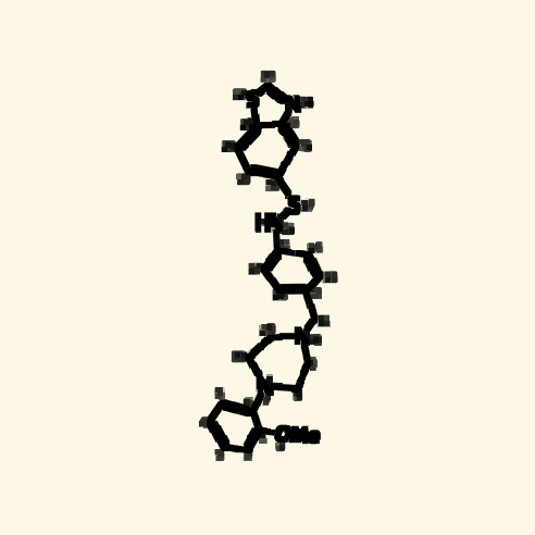 COc1ccccc1N1CCN(Cc2ccc(NSc3ccc4scnc4c3)cc2)CC1